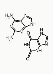 Nc1nc(N)c2nc[nH]c2n1.O=c1[nH]c(=O)c2[nH]cnc2[nH]1